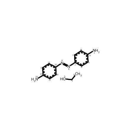 CCO.Nc1ccc(N=Nc2ccc(N)cc2)cc1